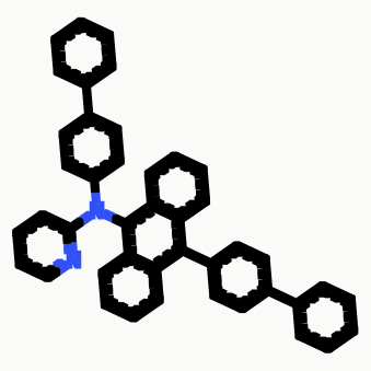 c1ccc(-c2ccc(-c3c4ccccc4c(N(c4ccc(-c5ccccc5)cc4)c4ccccn4)c4ccccc34)cc2)cc1